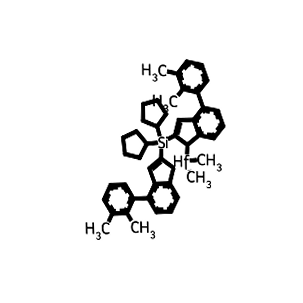 Cc1cccc(-c2cccc3c2C=C2[CH]3[Hf]([CH3])([CH3])[CH]3C(=Cc4c(-c5cccc(C)c5C)cccc43)[Si]2(C2CCCC2)C2CCCC2)c1C